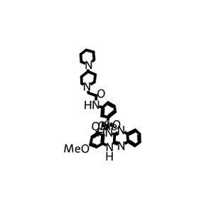 COc1cc(Nc2nc3ccccc3nc2NS(=O)(=O)c2cccc(NC(=O)CN3CCC(N4CCCCC4)CC3)c2)cc(OC)c1